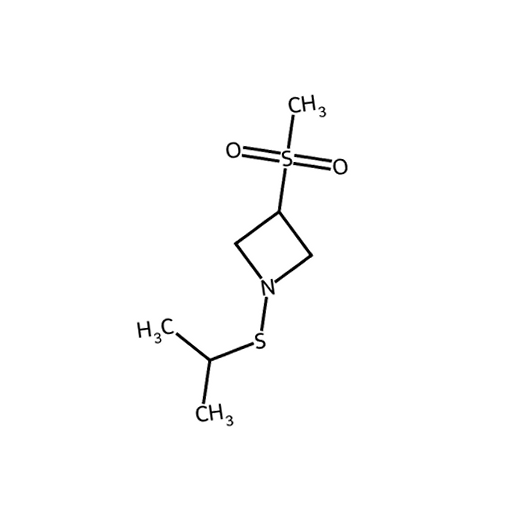 CC(C)SN1CC(S(C)(=O)=O)C1